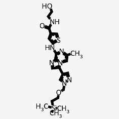 Cc1cn2c(-c3cnn(COCC[Si](C)(C)C)c3)cnc2c(Nc2cc(C(=O)NCCO)cs2)n1